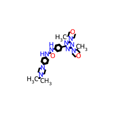 CC(C)N1CCN(c2ccc(NC(=O)Nc3ccc(-c4nc(N5CCOC[C@H]5C)nc(N5CCOC[C@H]5C)n4)cc3)cc2)CC1